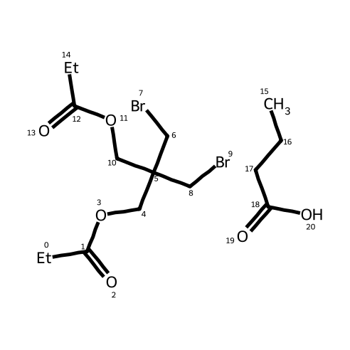 CCC(=O)OCC(CBr)(CBr)COC(=O)CC.CCCC(=O)O